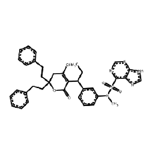 CCC(C1=C(O)CC(CCc2ccccc2)(CCc2ccccc2)OC1=O)c1cccc(N(C)S(=O)(=O)c2ncnc3[nH]cnc23)c1